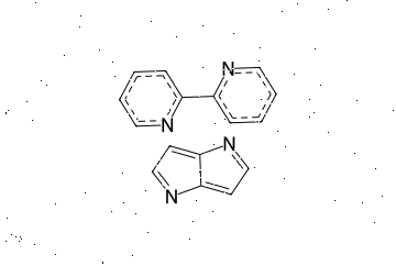 C1=NC2=CC=NC2=C1.c1ccc(-c2ccccn2)nc1